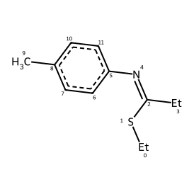 CCSC(CC)=Nc1ccc(C)cc1